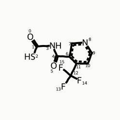 O=C(S)NC(=O)c1cnccc1C(F)(F)F